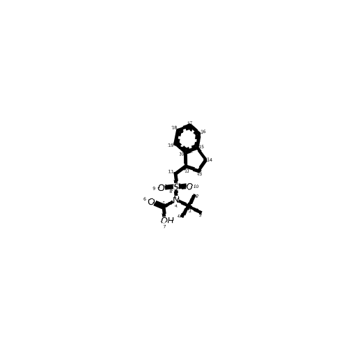 CC(C)(C)N(C(=O)O)S(=O)(=O)CC1CCc2ccccc21